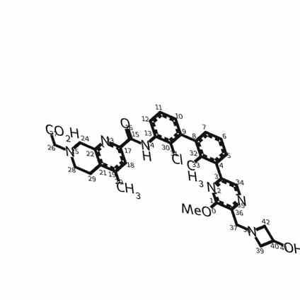 COc1nc(-c2cccc(-c3cccc(NC(=O)c4cc(C)c5c(n4)CN(CC(=O)O)CC5)c3Cl)c2C)cnc1CN1CC(O)C1